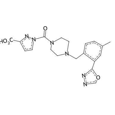 Cc1ccc(CN2CCN(C(=O)n3ccc(C(=O)O)n3)CC2)c(-c2nnco2)c1